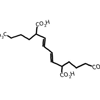 O=C(O)CCCC(/C=C/C=C/C(CCCC(=O)O)C(=O)O)C(=O)O